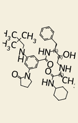 C[C@H](NC[C@@H](O)[C@H](Cc1ccccc1)NC(=O)c1cc(NCC(C)(C)C)cc(N2CCCC2=O)c1)C(=O)NC1CCCCC1